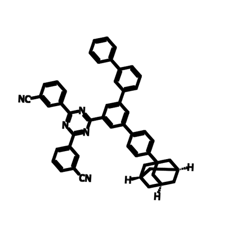 N#Cc1cccc(-c2nc(-c3cccc(C#N)c3)nc(-c3cc(-c4ccc(C56C[C@H]7C[C@H](C5)C[C@@H](C6)C7)cc4)cc(-c4cccc(-c5ccccc5)c4)c3)n2)c1